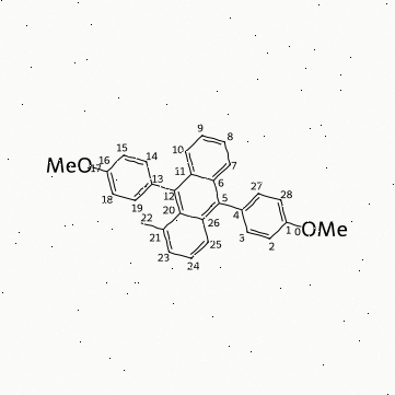 COc1ccc(-c2c3ccccc3c(-c3ccc(OC)cc3)c3c(C)cccc23)cc1